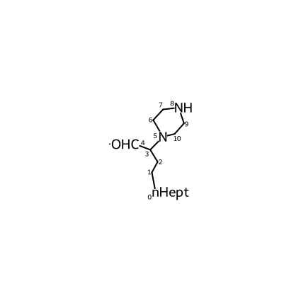 CCCCCCCCCC([C]=O)N1CCNCC1